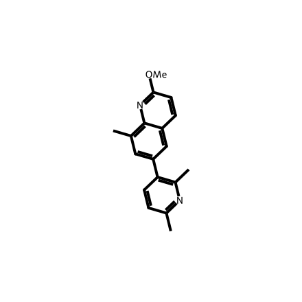 COc1ccc2cc(-c3ccc(C)nc3C)cc(C)c2n1